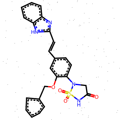 O=C1CN(c2ccc(C=Cc3nc4ccccc4[nH]3)cc2OCc2ccccc2)S(=O)(=O)N1